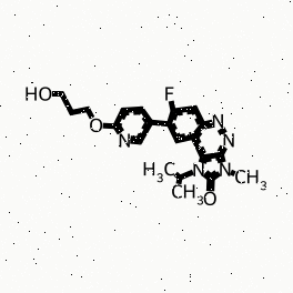 CC(C)n1c(=O)n(C)c2nnc3cc(F)c(-c4ccc(OCCCO)nc4)cc3c21